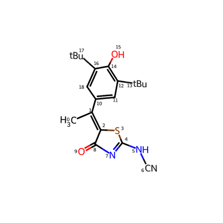 CC(=C1SC(NC#N)=NC1=O)c1cc(C(C)(C)C)c(O)c(C(C)(C)C)c1